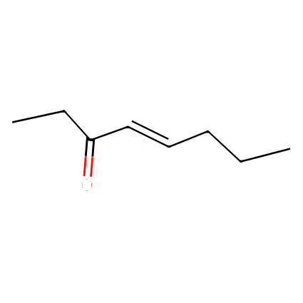 CCC/C=C/C(=O)CC